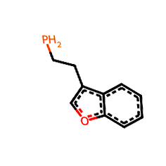 PCCc1coc2ccccc12